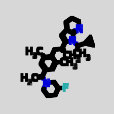 C=C(Cc1c(C)cc(C(=C)N2CCCC(F)C2)cc1C)c1cc2c(n1C(C)C1CC1)=NCCC=2